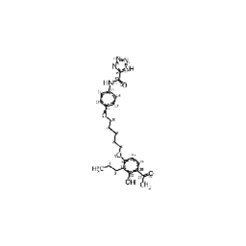 CCCc1c(OCCCCCOc2ccc(NC(=O)c3nnn[nH]3)cc2)ccc(C(C)=O)c1O